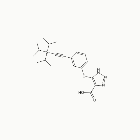 CC(C)[Si](C#Cc1cccc(Oc2[nH]nnc2C(=O)O)c1)(C(C)C)C(C)C